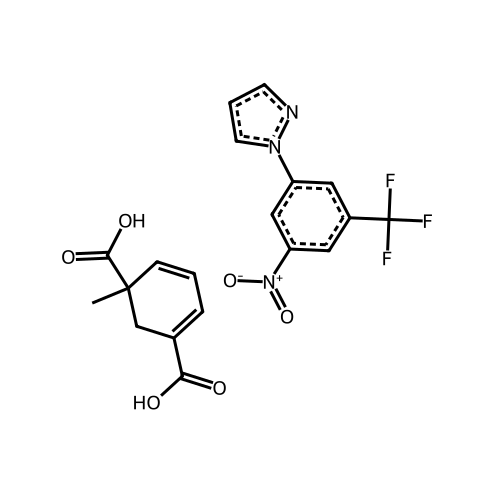 CC1(C(=O)O)C=CC=C(C(=O)O)C1.O=[N+]([O-])c1cc(-n2cccn2)cc(C(F)(F)F)c1